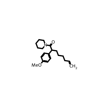 C=CCCCCC(C(=O)N1CCCCC1)c1ccc(OC)cc1